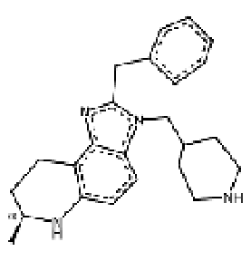 C[C@H]1CCc2c(ccc3c2nc(Cc2ccccc2)n3CC2CCNCC2)N1